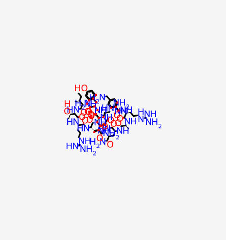 CC[C@H](C)[C@H](NC(=O)[C@H](CCC(N)=O)NC(=O)[C@H](C)NC(=O)[C@H](CCCNC(=N)N)NC(=O)c1ccc(CN)cc1)C(=O)N[C@@H](CC(N)=O)C(=O)N[C@@H](CC(C)C)C(=O)N[C@H](C(=O)N[C@H](C(=O)N[C@@H](CCCNC(=N)N)C(=O)N[C@@H](CCC(N)=O)C(=O)N[C@@H](CCCNC(=N)N)C(=O)N[C@@H](Cc1ccc(O)cc1)C(N)=O)[C@@H](C)O)[C@@H](C)CC